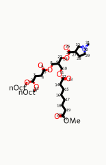 CCCCCCCCOC(CCC(=O)OCC(COC(=O)CCCCCCC(=O)OC)COC(=O)C1CCN(C)C1)OCCCCCCCC